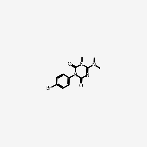 CN(C)c1nc(=O)n(-c2ccc(Br)cc2)c(=O)n1C